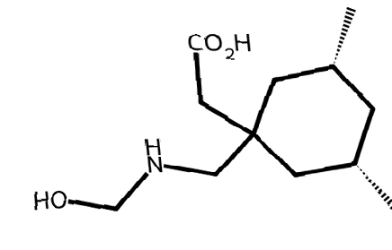 C[C@@H]1C[C@H](C)CC(CNCO)(CC(=O)O)C1